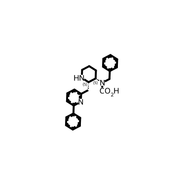 O=C(O)N(Cc1ccccc1)[C@H]1CCCN[C@H]1Cc1cccc(-c2ccccc2)n1